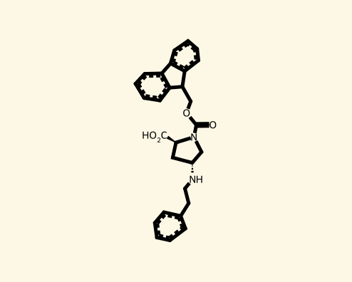 O=C(O)[C@@H]1C[C@@H](NCCc2ccccc2)CN1C(=O)OCC1c2ccccc2-c2ccccc21